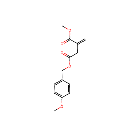 C=C(CC(=O)OCc1ccc(OC)cc1)C(=O)OC